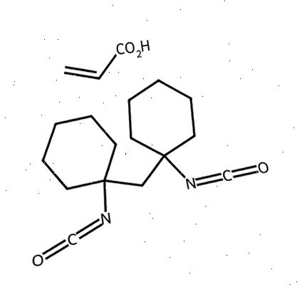 C=CC(=O)O.O=C=NC1(CC2(N=C=O)CCCCC2)CCCCC1